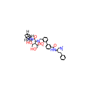 COc1c(CN2O[C@@H](CO)C(C(C)O)[C@H]2C(=O)N[C@H]2C[C@H]3C[C@@H]([C@@H]2C)C3(C)C)cccc1-c1cccc(C(=O)N[C@H](CCc2ccccc2)CN(C)C)c1